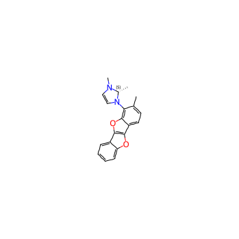 Cc1ccc2c(oc3c4ccccc4oc23)c1N1C=CN(C)[C@@H]1C